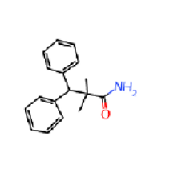 CC(C)(C(N)=O)C(c1ccccc1)c1ccccc1